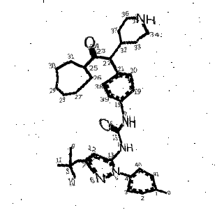 Cc1ccc(-n2nc(C(C)(C)C)cc2NC(=O)Nc2ccc(C(C(=O)C3CCCCCC3)C3CCNCC3)cc2)cc1